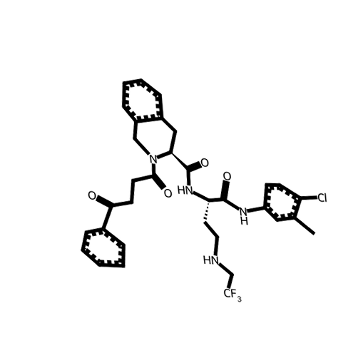 Cc1cc(NC(=O)[C@H](CCNCC(F)(F)F)NC(=O)[C@@H]2Cc3ccccc3CN2C(=O)CCC(=O)c2ccccc2)ccc1Cl